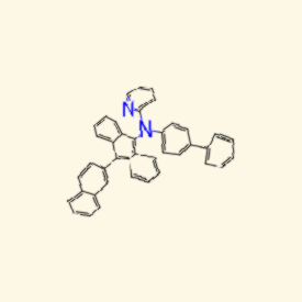 c1ccc(-c2ccc(N(c3ccccn3)c3c4ccccc4c(-c4ccc5ccccc5c4)c4ccccc34)cc2)cc1